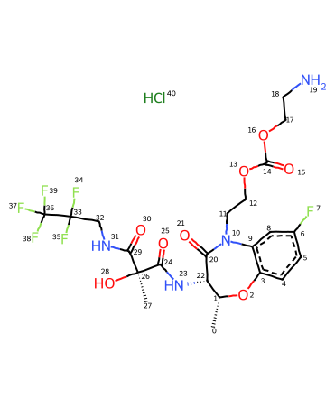 C[C@H]1Oc2ccc(F)cc2N(CCOC(=O)OCCN)C(=O)[C@H]1NC(=O)[C@@](C)(O)C(=O)NCC(F)(F)C(F)(F)F.Cl